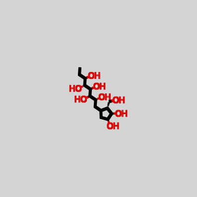 CC[C@@H](O)[C@@H](O)[C@@H](O)[C@H](O)[C@H](O)CC1C[C@@H](O)[C@H](O)[C@H]1CO